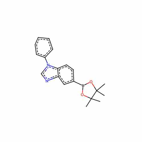 CC1(C)OB(c2ccc3c(c2)ncn3-c2ccccc2)OC1(C)C